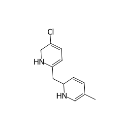 CC1=CNC(CC2=CC=C(Cl)CN2)C=C1